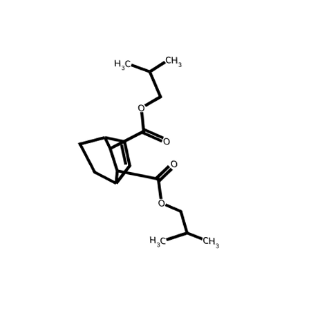 CC(C)COC(=O)C1C2C=CC(CC2)C1C(=O)OCC(C)C